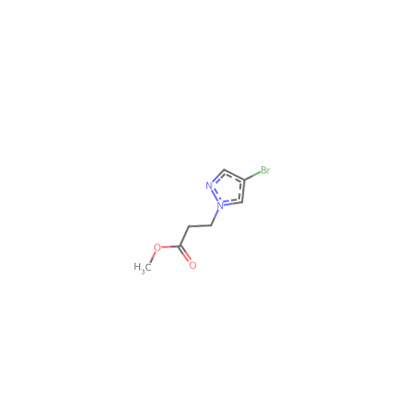 COC(=O)CCn1cc(Br)cn1